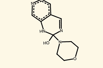 OC1(N2CCOCC2)N=Cc2ccncc2N1